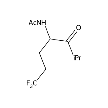 CC(=O)NC(CCC(F)(F)F)C(=O)C(C)C